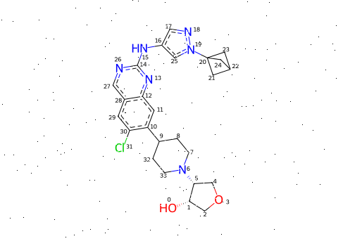 O[C@H]1COC[C@H]1N1CCC(c2cc3nc(Nc4cnn(C56CC(C5)C6)c4)ncc3cc2Cl)CC1